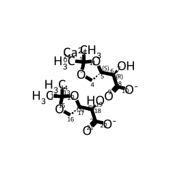 CC1(C)OC[C@@H]([C@@H](O)C(=O)[O-])O1.CC1(C)OC[C@@H]([C@@H](O)C(=O)[O-])O1.[Ca+2]